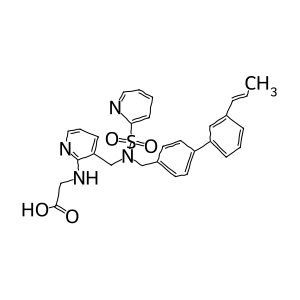 CC=Cc1cccc(-c2ccc(CN(Cc3cccnc3NCC(=O)O)S(=O)(=O)c3ccccn3)cc2)c1